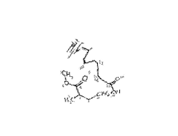 CCC(C)C(=O)OC.CCCCCC(=O)O